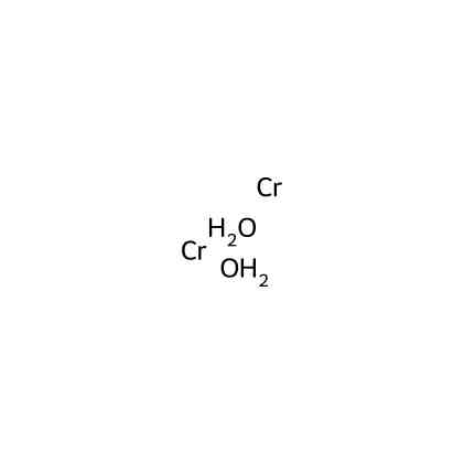 O.O.[Cr].[Cr]